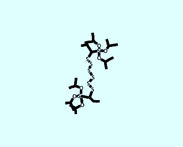 CCC(SSSSSSC(CC)[Si](OC(C)C)(OC(C)C)OC(C)C)[Si](OC(C)C)(OC(C)C)OC(C)C